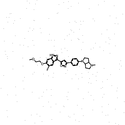 COCCOc1cc2[nH]nc(-c3cc(-c4ccc(N5CCC6C5CCN6C)cc4)no3)c2cc1F